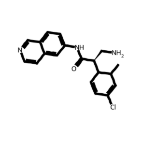 CC1C=C(Cl)C=CC1[C@H](CN)C(=O)Nc1ccc2cnccc2c1